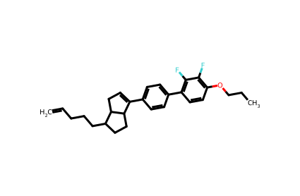 C=CCCCC1CCC2C(c3ccc(-c4ccc(OCCC)c(F)c4F)cc3)=CCC12